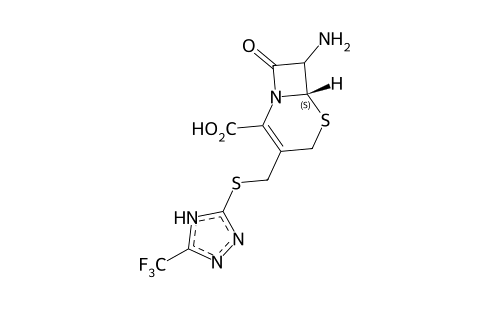 NC1C(=O)N2C(C(=O)O)=C(CSc3nnc(C(F)(F)F)[nH]3)CS[C@@H]12